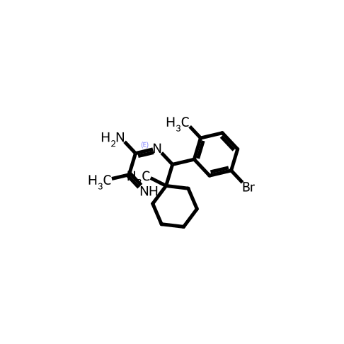 CC(=N)/C(N)=N\C(c1cc(Br)ccc1C)C1(C)CCCCC1